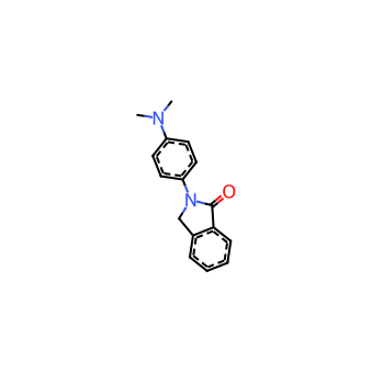 CN(C)c1ccc(N2Cc3ccccc3C2=O)cc1